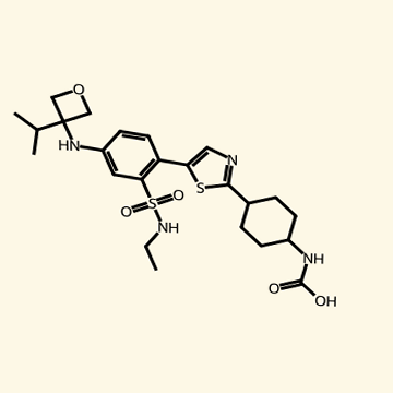 CCNS(=O)(=O)c1cc(NC2(C(C)C)COC2)ccc1-c1cnc(C2CCC(NC(=O)O)CC2)s1